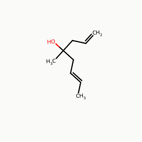 C=CCC(C)(O)CC=CC